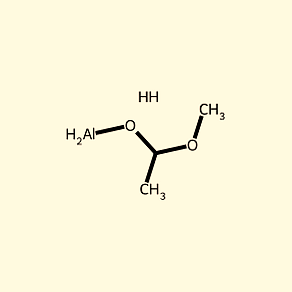 COC(C)[O][AlH2].[HH]